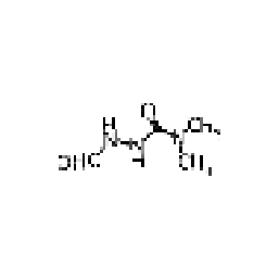 CN(C)C(=O)NNC=O